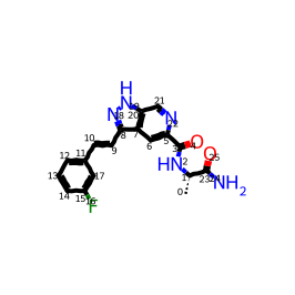 C[C@H](NC(=O)c1cc2c(/C=C/c3cccc(F)c3)n[nH]c2cn1)C(N)=O